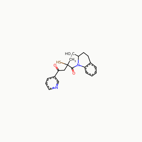 CC(S)(CC(=O)c1cccnc1)C(=O)N1c2ccccc2CCC1C(=O)O